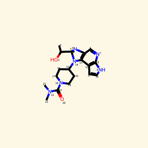 CC(O)c1nc2cnc3[nH]ccc3c2n1C1CCN(C(=O)N(C)C)CC1